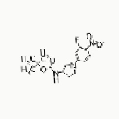 CC(C)(C)OC(=O)N[C@@H]1CCN(c2ccc([N+](=O)[O-])c(F)c2)C1